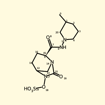 CC1CCCN(NC(=O)[C@@H]2CCC3CN2C(=O)N3OS(=O)(=O)O)C1